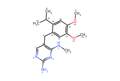 CNc1nc(N)ncc1Cc1cc(OC)c(OC)cc1C(C)C